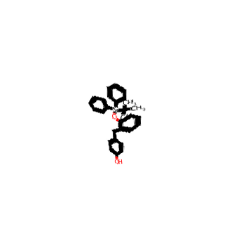 CC(C)(C)[Si](Oc1ccccc1Cc1ccc(O)cc1)(c1ccccc1)c1ccccc1